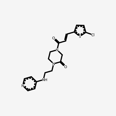 O=C(C=Cc1ccc(Cl)s1)N1CCN(CCNc2ccncc2)C(=O)C1